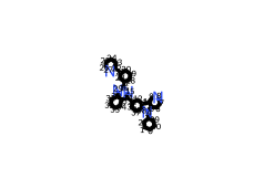 c1ccc(-n2c3ccncc3c3cc(-c4nc(-c5cccc(-c6ccccn6)c5)nc5ccccc45)ccc32)cc1